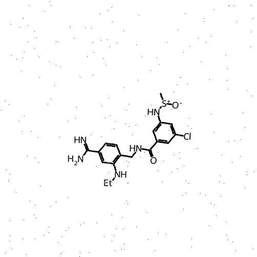 CCNc1cc(C(=N)N)ccc1CNC(=O)c1cc(Cl)cc(N[S+](C)[O-])c1